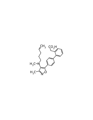 C=CCCCN(C)c1c(C)noc1-c1ccc(-c2ccccc2CC(=O)O)cc1